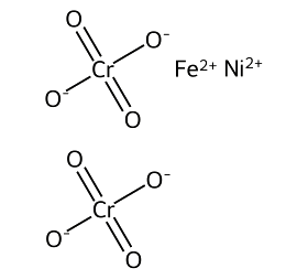 [Fe+2].[Ni+2].[O]=[Cr](=[O])([O-])[O-].[O]=[Cr](=[O])([O-])[O-]